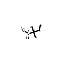 CCC(C)(C)N[O]